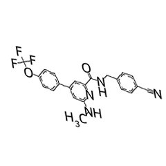 CNc1cc(-c2ccc(OC(F)(F)F)cc2)cc(C(=O)NCc2ccc(C#N)cc2)n1